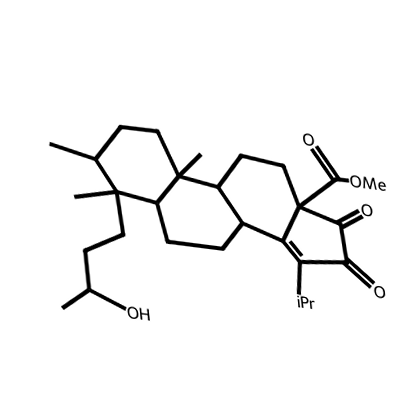 COC(=O)C12CCC3C(CCC4C(C)(CCC(C)O)C(C)CCC34C)C1=C(C(C)C)C(=O)C2=O